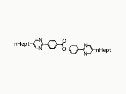 CCCCCCCc1cnc(-c2ccc(OC(=O)c3ccc(-c4ncc(CCCCCCC)cn4)cc3)cc2)nc1